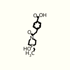 CC[P]1(O)CCN(C(=O)Cc2ccc(C(=O)O)cc2)CC1